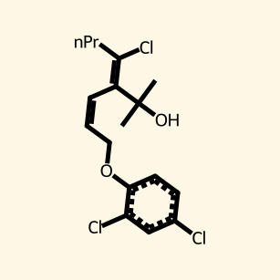 CCC/C(Cl)=C(\C=C/COc1ccc(Cl)cc1Cl)C(C)(C)O